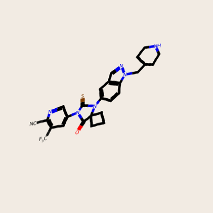 N#Cc1ncc(N2C(=O)C3(CCC3)N(c3ccc4c(cnn4CC4CCNCC4)c3)C2=S)cc1C(F)(F)F